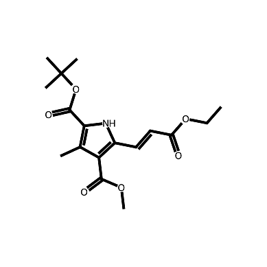 CCOC(=O)C=Cc1[nH]c(C(=O)OC(C)(C)C)c(C)c1C(=O)OC